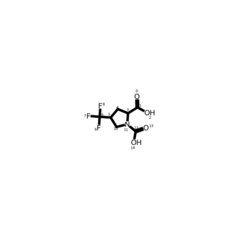 O=C(O)C1CC(C(F)(F)F)CN1C(=O)O